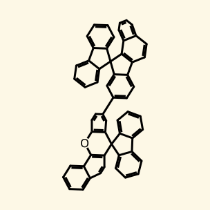 c1ccc2c(c1)-c1ccccc1C21c2cc(-c3ccc4c(c3)C3(c5ccccc5-c5ccccc53)c3c-4ccc4ccccc34)ccc2Oc2c1ccc1ccccc21